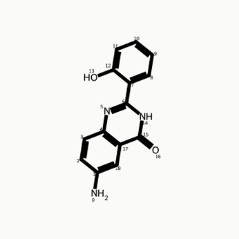 Nc1ccc2nc(-c3ccccc3O)[nH]c(=O)c2c1